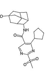 CS(=O)(=O)c1ncc(C(=O)NC2C3CC4CC2CC(O)(C4)C3)c(C2CCCC2)n1